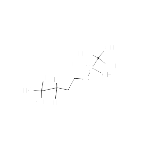 [2H]C([2H])(O)C([2H])([2H])CCO[Si](C)(C)C(C)(C)C